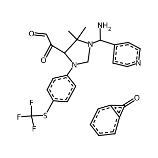 CC1(C)C(C(=O)C=O)N(c2ccc(SC(F)(F)F)cc2)CN1C(N)c1ccncc1.O=c1c2ccccc12